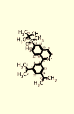 CC(C)c1cc(-c2nccc3cc(S(C)(C)C(C)(C)C)ccc23)cc(C(C)C)c1